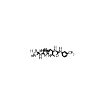 BC(CCC)(CCCCCCC)Nc1cnc2cc(NC(=O)Nc3cccc(C(F)(F)F)c3)c(C)nc2n1